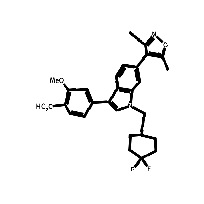 COc1cc(-c2cn(CC3CCC(F)(F)CC3)c3cc(-c4c(C)noc4C)ccc23)ccc1C(=O)O